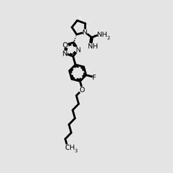 CCCCCCCCOc1ccc(-c2noc([C@@H]3CCCN3C(=N)N)n2)cc1F